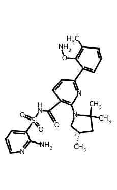 Cc1cccc(-c2ccc(C(=O)NS(=O)(=O)c3cccnc3N)c(N3C[C@@H](C)CC3(C)C)n2)c1ON